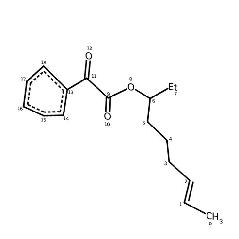 C/C=C/CCCC(CC)OC(=O)C(=O)c1ccccc1